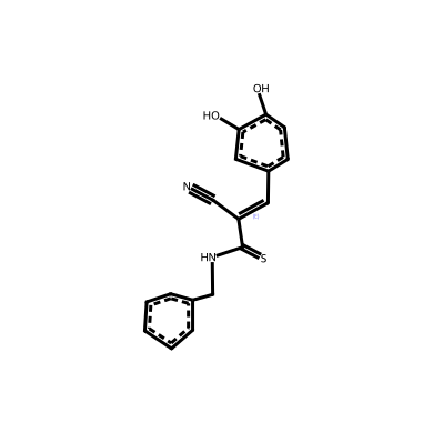 N#C/C(=C\c1ccc(O)c(O)c1)C(=S)NCc1ccccc1